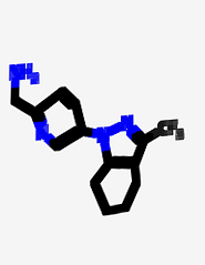 NCc1ccc(-n2nc(C(F)(F)F)c3c2CCCC3)cn1